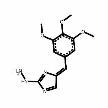 COc1cc(C=C2C=NC(NN)=N2)cc(OC)c1OC